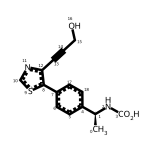 C[C@H](NC(=O)O)c1ccc(-c2scnc2C#CCO)cc1